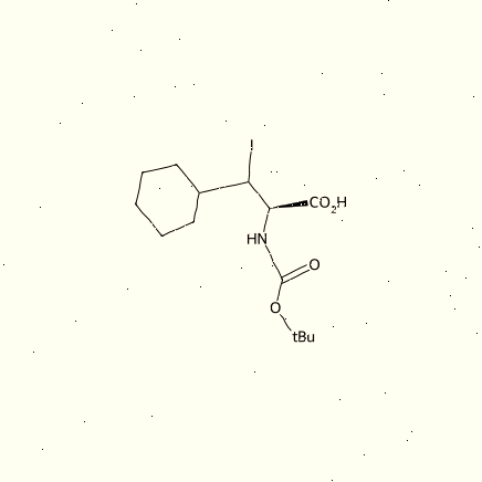 CC(C)(C)OC(=O)N[C@H](C(=O)O)C(I)C1CCCCC1